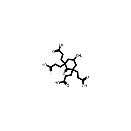 CC1CC(CCC(=O)O)(CCC(=O)O)C(=O)C(CCC(=O)O)(CCC(=O)O)C1